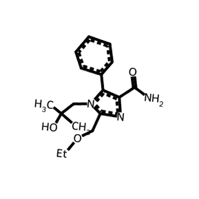 CCOCc1nc(C(N)=O)c(-c2ccccc2)n1CC(C)(C)O